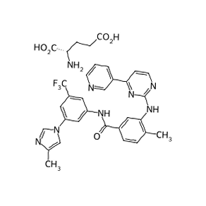 Cc1cn(-c2cc(NC(=O)c3ccc(C)c(Nc4nccc(-c5cccnc5)n4)c3)cc(C(F)(F)F)c2)cn1.N[C@@H](CCC(=O)O)C(=O)O